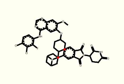 COc1cc2ncnc(Nc3ccc(Cl)c(Cl)c3F)c2cc1OC1CCC(CN2C3CC2CN(c2ccc4c(c2)C(=O)N(C2CCC(=O)NC2=O)C4=O)C3)CC1